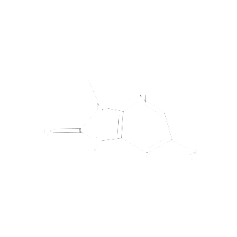 Cn1c(=O)oc2cc(Br)cnc21